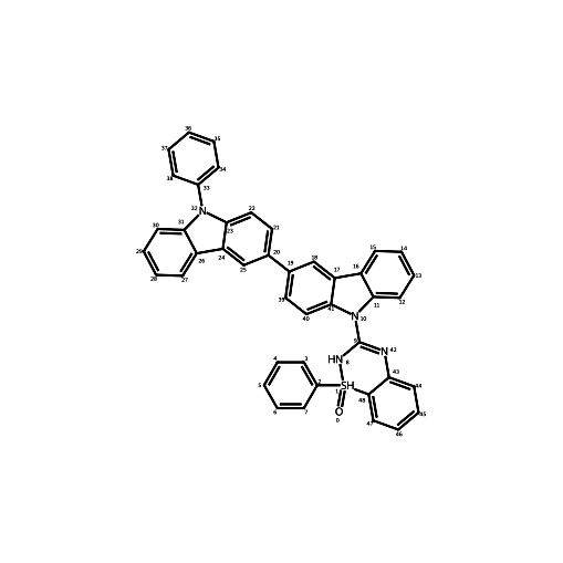 O=[SH]1(c2ccccc2)NC(n2c3ccccc3c3cc(-c4ccc5c(c4)c4ccccc4n5-c4ccccc4)ccc32)=Nc2ccccc21